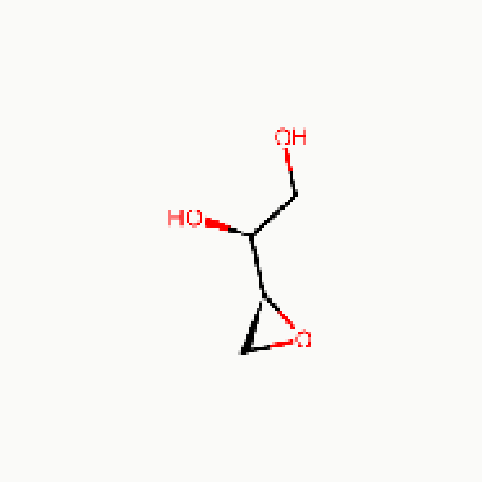 OC[C@H](O)[C@@H]1CO1